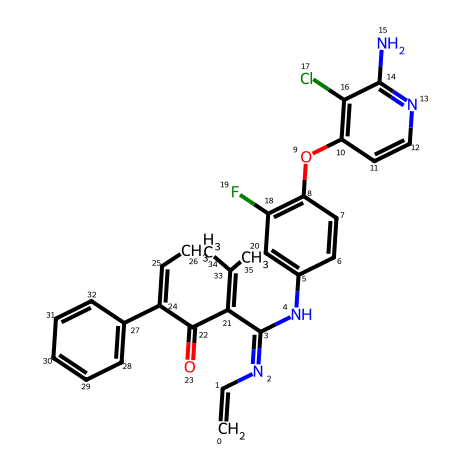 C=C/N=C(/Nc1ccc(Oc2ccnc(N)c2Cl)c(F)c1)C(C(=O)/C(=C\C)c1ccccc1)=C(C)C